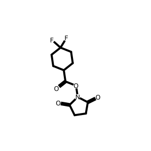 O=C(ON1C(=O)CCC1=O)C1CCC(F)(F)CC1